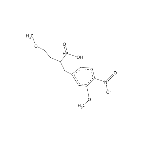 COCCC(Cc1ccc([N+](=O)[O-])c(OC)c1)[PH](=O)O